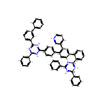 c1ccc(-c2cccc(-c3nc(-c4ccccc4)nc(-c4ccc(-c5ccc(-c6ccccc6-c6nc(-c7ccccc7)nc(-c7ccccc7)n6)cc5-c5cccnc5)cc4)n3)c2)cc1